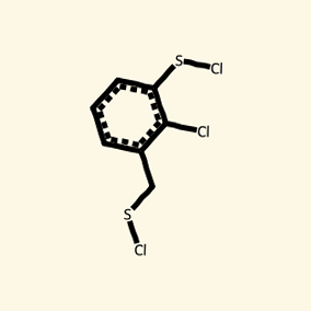 ClSCc1cccc(SCl)c1Cl